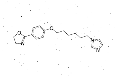 c1cn(CCCCCCOc2ccc(C3=NCCO3)cc2)cn1